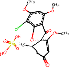 COC1=CC(=O)C[C@@H](C)[C@]12Oc1c(Cl)c(OC)cc(OC)c1C2=O.O=S(=O)(O)O